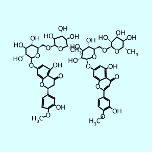 COc1ccc(-c2cc(=O)c3c(O)cc(O[C@@H]4O[C@H](CO[C@@H]5O[C@@H](C)[C@H](O)[C@@H](O)[C@H]5O)[C@@H](O)[C@H](O)[C@H]4O)cc3o2)cc1O.COc1ccc([C@@H]2CC(=O)c3c(O)cc(O[C@@H]4O[C@H](CO[C@@H]5O[C@@H](C)[C@H](O)[C@@H](O)[C@H]5O)[C@@H](O)[C@H](O)[C@H]4O)cc3O2)cc1O